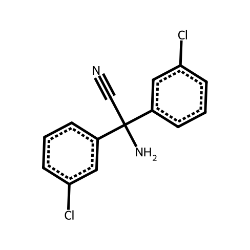 N#CC(N)(c1cccc(Cl)c1)c1cccc(Cl)c1